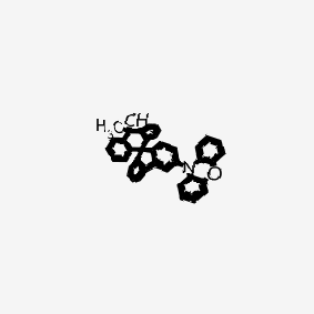 CC1(C)c2ccccc2C2(c3ccccc3-c3cc(N4c5ccccc5Oc5ccccc54)ccc32)c2ccccc21